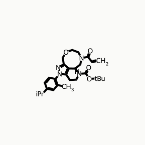 C=CC(=O)N1CCOCc2nn(-c3ccc(C(C)C)cc3C)c3c2[C@H](C1)N(C(=O)OC(C)(C)C)CC3